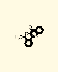 C=C1Oc2c(oc3ccccc3c2=O)-c2ccccc21